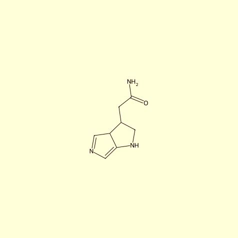 NC(=O)CC1CNC2=CN=CC21